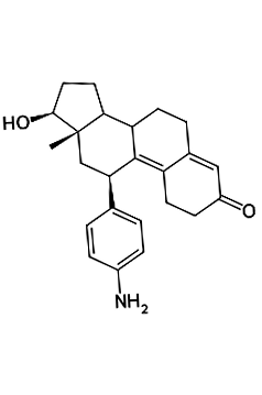 C[C@]12C[C@H](c3ccc(N)cc3)C3=C4CCC(=O)C=C4CCC3C1CC[C@@H]2O